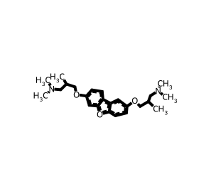 CC(COc1ccc2c(c1)oc1ccc(OCC(C)CN(C)C)cc12)CN(C)C